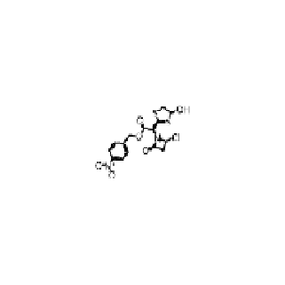 O=C(OCc1ccc([N+](=O)[O-])cc1)C(=C1SCC(O)S1)N1C(=O)CC1Cl